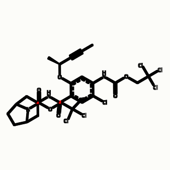 CC#C[C@H](C)Oc1cc(NC(=O)OCC(Cl)(Cl)Cl)c(Cl)cc1C(=O)NC1CC2CCC(C1)N2C(=O)OCC(Cl)(Cl)Cl